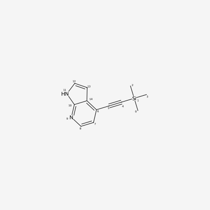 C[Si](C)(C)C#Cc1ccnc2[nH]ccc12